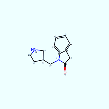 O=C1Cc2ccccc2N1CC1CCNC1